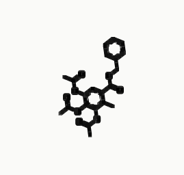 CC(=O)Oc1cc(C(=O)OCc2ccccc2)c(C)c(OC(C)=O)c1OC(C)=O